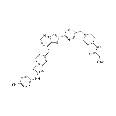 CC(=O)OCC(=O)NC1CCN(Cc2ccc(-c3cc4nccc(Oc5ccc6oc(Nc7ccc(Cl)cc7)nc6c5)c4s3)nc2)CC1